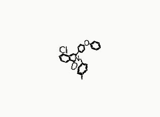 Cc1ccc(Cn2c(-c3ccc(Oc4ccccc4)cc3)cc3c(Cl)cccc3c2=O)cc1